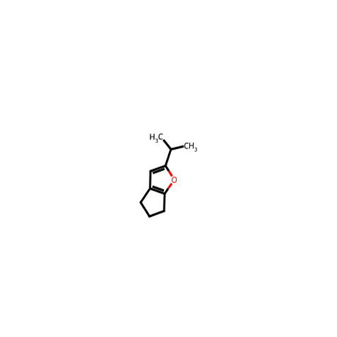 CC(C)c1cc2c(o1)CCC2